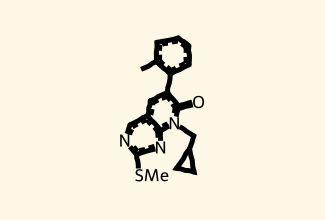 CSc1ncc2cc(-c3ccccc3C)c(=O)n(CC3CC3)c2n1